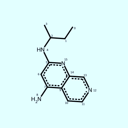 CCC(C)Nc1cc(N)c2ccncc2n1